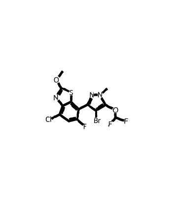 COc1nc2c(Cl)cc(F)c(-c3nn(C)c(OC(F)F)c3Br)c2s1